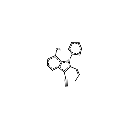 C#Cc1c(/C=C\C)n(-c2ccccc2)c2c(N)cccc12